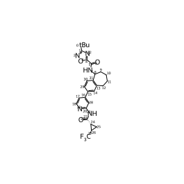 CC(C)(C)c1noc(C(=O)NC2CCCCc3cc(-c4ccnc(NC(=O)[C@@H]5C[C@H]5C(F)(F)F)c4)ccc32)n1